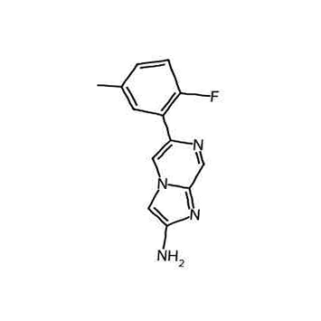 Cc1ccc(F)c(-c2cn3cc(N)nc3cn2)c1